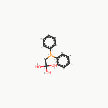 OC(O)(O)CP(c1ccccc1)c1ccccc1